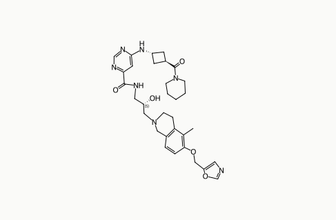 Cc1c(OCc2cnco2)ccc2c1CCN(C[C@@H](O)CNC(=O)c1cc(N[C@H]3C[C@H](C(=O)N4CCCCC4)C3)ncn1)C2